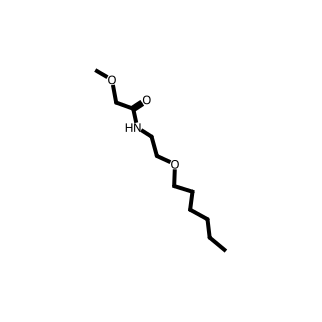 CCCCCCOCCNC(=O)COC